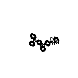 c1ccc(N(c2ccccc2)c2ccc3c(c2)c2ccccc2n3-c2ccc(-c3nc4ncccc4o3)cc2)cc1